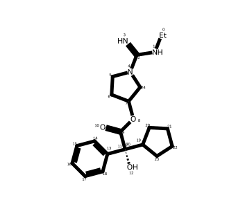 CCNC(=N)N1CCC(OC(=O)[C@](O)(c2ccccc2)C2CCCC2)C1